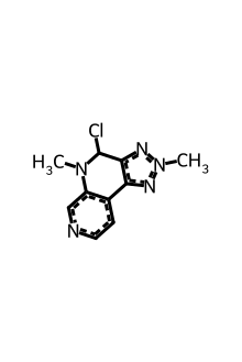 CN1c2cnccc2-c2nn(C)nc2C1Cl